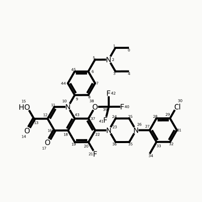 CCN(CC)Cc1ccc(-n2cc(C(=O)O)c(=O)c3cc(F)c(N4CCN(c5cc(Cl)ccc5C)CC4)c(OC(F)(F)F)c32)cc1